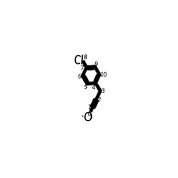 [O]C#CCc1ccc(Cl)cc1